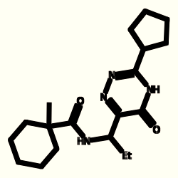 CCC(NC(=O)C1(C)CCCCC1)c1nnc(C2CCCC2)[nH]c1=O